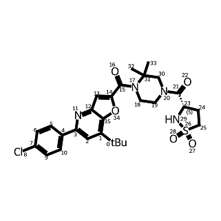 CC(C)(C)c1cc(-c2ccc(Cl)cc2)nc2cc(C(=O)N3CCN(C(=O)[C@@H]4CCS(=O)(=O)N4)CC3(C)C)oc12